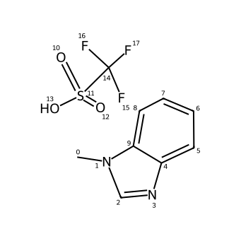 Cn1cnc2ccccc21.O=S(=O)(O)C(F)(F)F